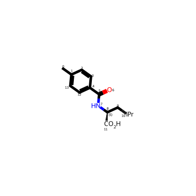 Cc1ccc(C(=O)N[C@@H](CC(C)C)C(=O)O)cc1